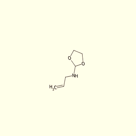 C=CCNC1OCCO1